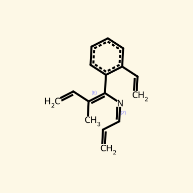 C=C/C=N\C(=C(/C)C=C)c1ccccc1C=C